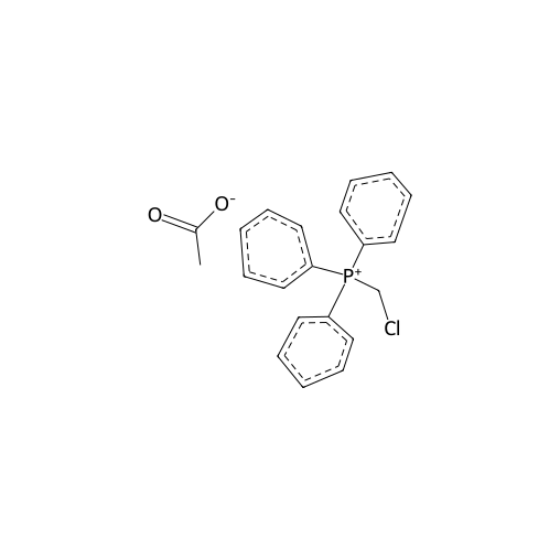 CC(=O)[O-].ClC[P+](c1ccccc1)(c1ccccc1)c1ccccc1